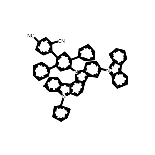 N#Cc1ccc(-c2cc(-c3ccccc3)c(-n3c4ccc(-n5c6ccccc6c6ccccc65)cc4c4ccc5c(c6ccccc6n5-c5ccccc5)c43)cc2-c2ccccc2)c(C#N)c1